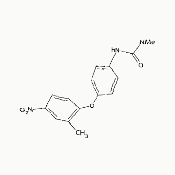 CNC(=O)Nc1ccc(Oc2ccc([N+](=O)[O-])cc2C)cc1